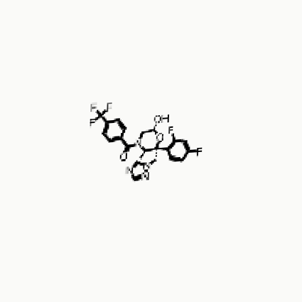 C[C@H]1N(C(=O)c2ccc(C(F)(F)F)cc2)C[C@@H](O)O[C@@]1(Cn1cncn1)c1ccc(F)cc1F